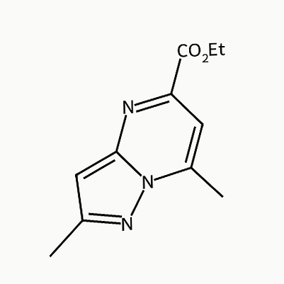 CCOC(=O)c1cc(C)n2nc(C)cc2n1